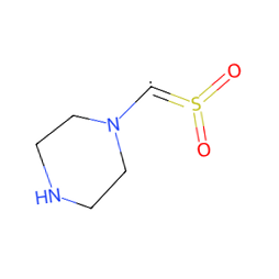 O=S(=O)=[C]N1CCNCC1